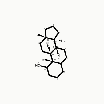 C[C@@]12CCC[C@H]1[C@@H]1CCC3CCCC(O)[C@]3(C)[C@@H]1CC2